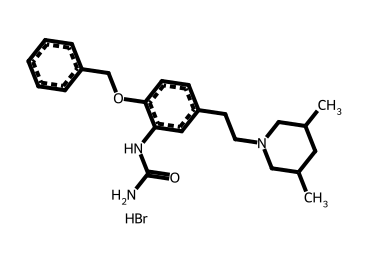 Br.CC1CC(C)CN(CCc2ccc(OCc3ccccc3)c(NC(N)=O)c2)C1